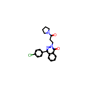 O=C(CCn1nc(-c2ccc(Cl)cc2)c2ccccc2c1=O)N1CCCC1